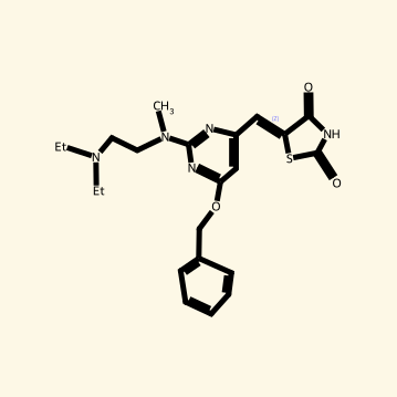 CCN(CC)CCN(C)c1nc(/C=C2\SC(=O)NC2=O)cc(OCc2ccccc2)n1